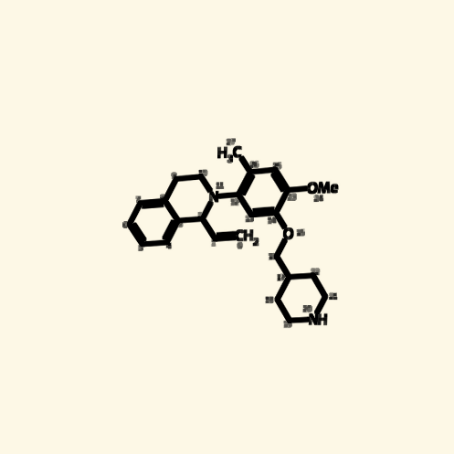 C=CC1c2ccccc2CCN1c1cc(OCC2CCNCC2)c(OC)cc1C